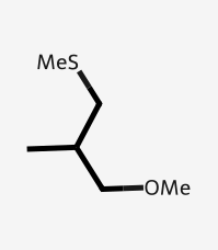 COCC(C)CSC